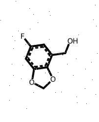 OCc1cc(F)cc2c1OCO2